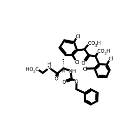 C[C@H](NC(=O)OCc1ccccc1)C(=O)NCC(=O)O.O=C(O)C(C(=O)C(C(=O)O)c1c(Cl)cccc1Cl)c1c(Cl)cccc1Cl